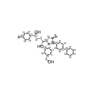 OCc1ccc([C@@H]2[C@@H](CCCC(O)c3ccc(F)cc3)CC(=S)N2c2ccc(-c3ccccc3)cc2)c(O)c1